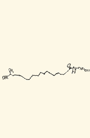 CCCCCNC(=O)CCCCCCCCCCCC(C)C=O